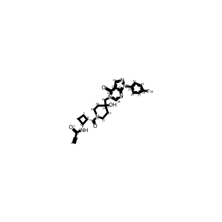 C#CC(=O)N[C@@H]1CC[C@@H]1C(=O)N1CCC(O)(Cn2cnc3c(cnn3-c3ccc(F)cc3)c2=O)CC1